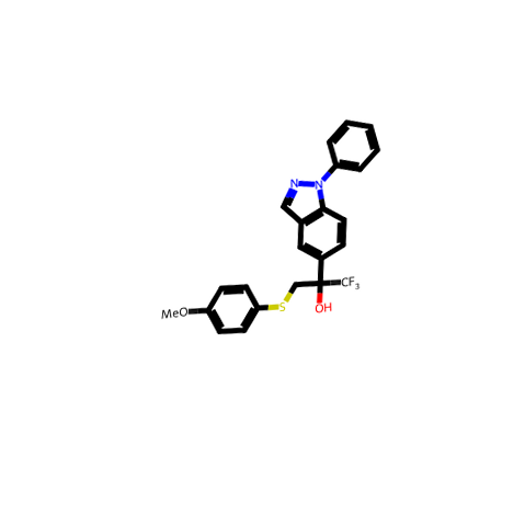 COc1ccc(SCC(O)(c2ccc3c(cnn3-c3ccccc3)c2)C(F)(F)F)cc1